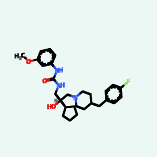 COc1cccc(NC(=O)NC[C@](O)(CN2CCC(Cc3ccc(F)cc3)CC2)C2CCCC2)c1